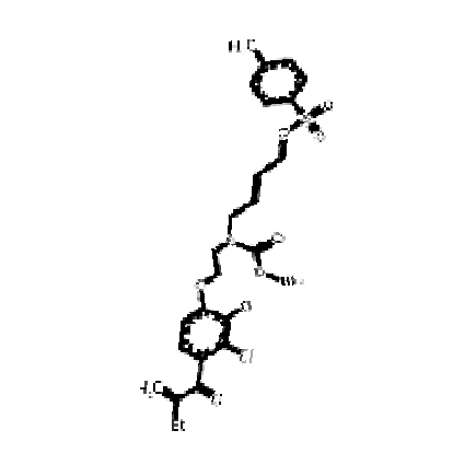 C=C(CC)C(=O)c1ccc(OCCN(CCCCOS(=O)(=O)c2ccc(C)cc2)C(=O)OC(C)(C)C)c(Cl)c1Cl